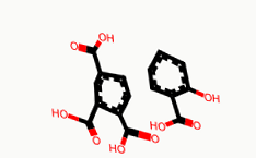 O=C(O)c1ccc(C(=O)O)c(C(=O)O)c1.O=C(O)c1ccccc1O